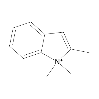 CC1=Cc2ccccc2[N+]1(C)C